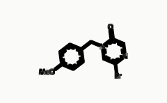 COc1ccc(Cn2cc(Br)ncc2=O)cc1